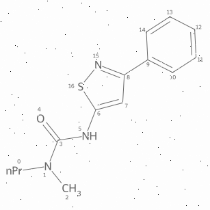 CCCN(C)C(=O)Nc1cc(-c2ccccc2)ns1